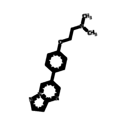 CN(C)CCOc1ccc(-c2cnc3ccnn3c2)cc1